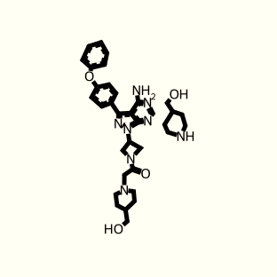 Nc1ncnc2c1c(-c1ccc(Oc3ccccc3)cc1)nn2C1CN(C(=O)CN2CCC(CO)CC2)C1.OCC1CCNCC1